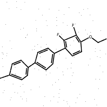 CCOc1ccc(-c2ccc(-c3ccc(C)cc3)cc2)c(F)c1F